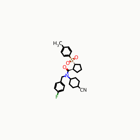 Cc1ccc(S(=O)(=O)[C@@H]2CCC[C@H]2C(=O)N(Cc2ccc(F)cc2)C2CCC(C#N)CC2)cc1